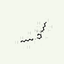 OC[C@@H](O)[C@@H](O)[C@H](O)[C@@H](O)C(O)OC[C@H]1O[C@H](O)[C@H](OC(O)[C@H](O)[C@@H](O)[C@H](O)[C@H](O)CO)[C@@H](O)[C@@H]1O